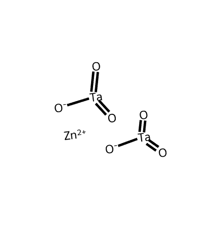 [O]=[Ta](=[O])[O-].[O]=[Ta](=[O])[O-].[Zn+2]